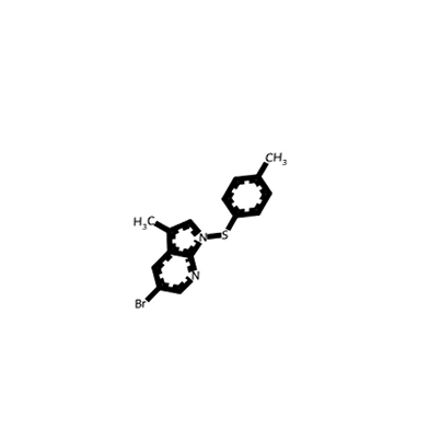 Cc1ccc(Sn2cc(C)c3cc(Br)cnc32)cc1